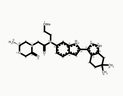 COCCN(C(=O)CN1C[C@@H](C)OCC1=O)c1ccc2cc(-c3n[nH]c4c3CCC(C)(C)C4)[nH]c2c1